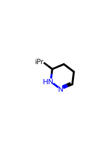 CC(C)C1CCC=NN1